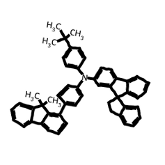 CC(C)(C)c1ccc(N(c2ccc(-c3cccc4c3C(C)(C)c3ccccc3-4)cc2)c2ccc3c(c2)C2(CCc4ccccc42)c2ccccc2-3)cc1